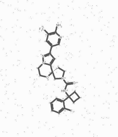 Nc1ncc(-c2cc3n(n2)CCO[C@@]32CCN(C(=O)NC3(c4ccccc4F)CCC3)C2)cc1C(F)(F)F